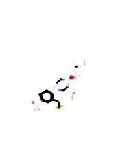 CO[C@@H]1CN(c2ccc([N+](=O)[O-])cc2C(O)C(F)(F)F)CCN1C(=O)OC(C)(C)C